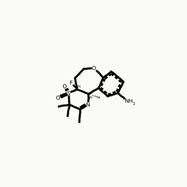 CC1=N[C@]2(C)c3cc(N)ccc3OCC[C@@]2(F)S(=O)(=O)C1(C)C